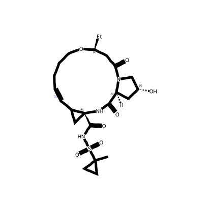 CC[C@H]1CC(=O)N2C[C@H](O)C[C@H]2C(=O)N[C@]2(C(=O)NS(=O)(=O)C3(C)CC3)CC2/C=C\CCCO1